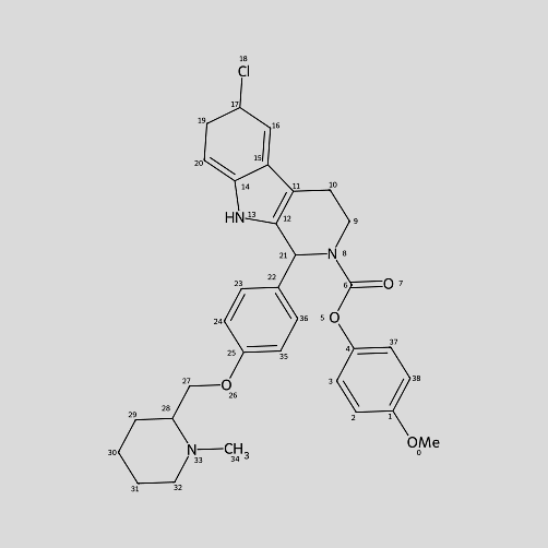 COc1ccc(OC(=O)N2CCc3c([nH]c4c3=CC(Cl)CC=4)C2c2ccc(OCC3CCCCN3C)cc2)cc1